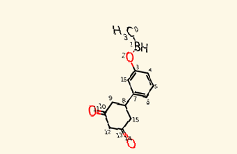 CBOc1cccc(C2CC(=O)CC(=O)C2)c1